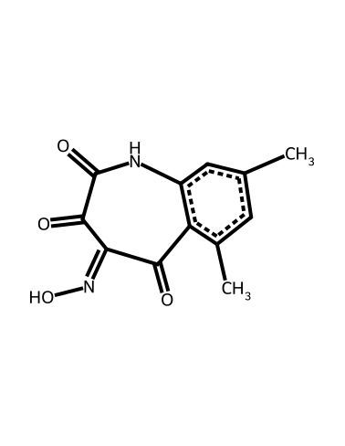 Cc1cc(C)c2c(c1)NC(=O)C(=O)/C(=N\O)C2=O